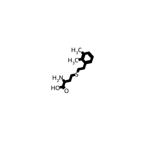 Cc1cccc(CCSCCC(N)C(=O)O)c1C